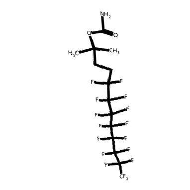 CC(C)(CCC(F)(F)C(F)(F)C(F)(F)C(F)(F)C(F)(F)C(F)(F)C(F)(F)C(F)(F)F)OC(N)=O